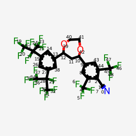 N#Cc1c(C(F)(F)F)cc(C2CC(c3cc(C(F)(C(F)(F)F)C(F)(F)F)cc(C(F)(C(F)(F)F)C(F)(F)F)c3)OCCO2)cc1C(F)(F)F